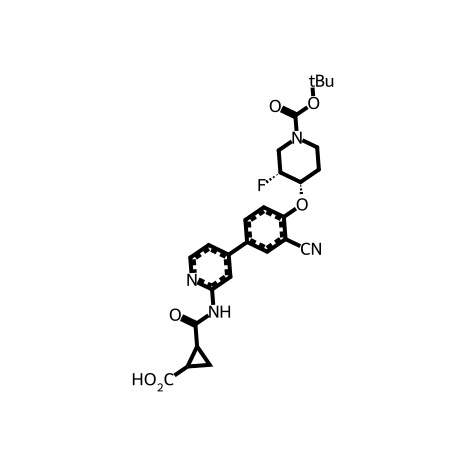 CC(C)(C)OC(=O)N1CC[C@H](Oc2ccc(-c3ccnc(NC(=O)C4CC4C(=O)O)c3)cc2C#N)[C@H](F)C1